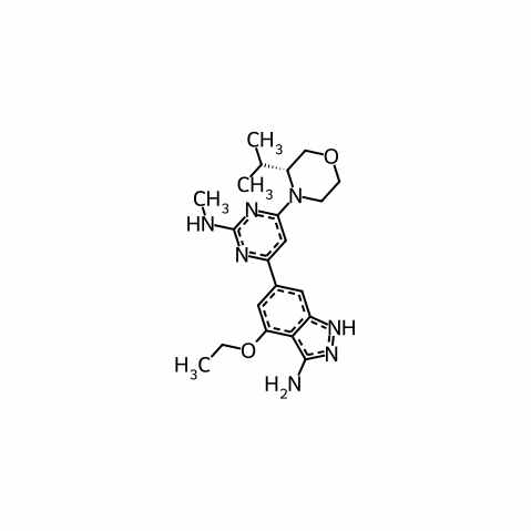 CCOc1cc(-c2cc(N3CCOC[C@H]3C(C)C)nc(NC)n2)cc2[nH]nc(N)c12